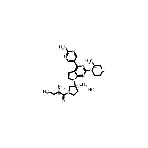 CC[C@@H](N)C(=O)N1CC[C@](C)(N2CCc3c(-c4cnc(N)nc4)nc(N4CCOC[C@@H]4C)nc32)C1.Cl